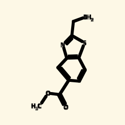 BCc1nc2cc(C(=O)OC)ccc2s1